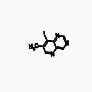 Cc1cnc2cncnc2c1I